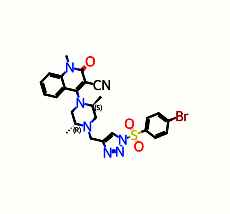 C[C@@H]1CN(c2c(C#N)c(=O)n(C)c3ccccc23)[C@@H](C)CN1Cc1cn(S(=O)(=O)c2ccc(Br)cc2)nn1